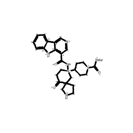 CNC(=O)N1CCC([N+]2(NC(=O)c3cncc4c3[nH]c3ccccc34)CCC(=O)C3(CCNC3)C2)CC1